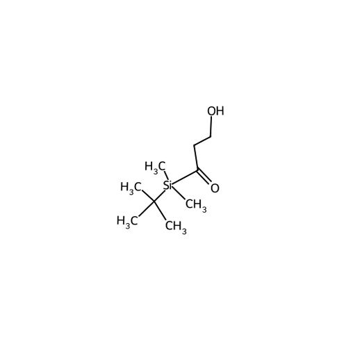 CC(C)(C)[Si](C)(C)C(=O)CCO